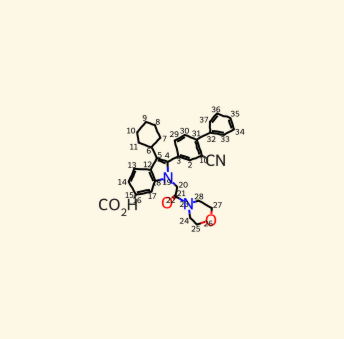 N#Cc1cc(-c2c(C3CCCCC3)c3ccc(C(=O)O)cc3n2CC(=O)N2CCOCC2)ccc1-c1ccccc1